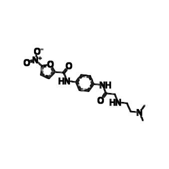 CN(C)CCNCC(=O)Nc1ccc(NC(=O)c2ccc([N+](=O)[O-])o2)cc1